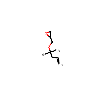 C=CCC(C)(CC)OCC1CO1